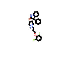 C[N+]1(CCCOc2c(F)cccc2F)CC[C@@H](C(C(N)=O)(c2ccccc2)c2ccccc2)C1